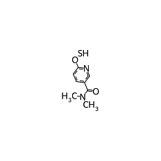 CN(C)C(=O)c1ccc(OS)nc1